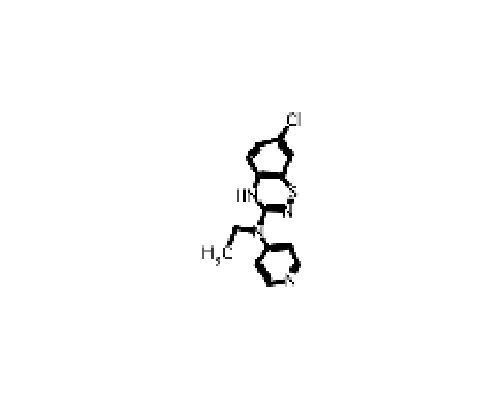 CCN(C1=NSc2cc(Cl)ccc2N1)c1ccncc1